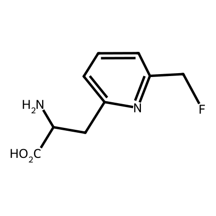 NC(Cc1cccc(CF)n1)C(=O)O